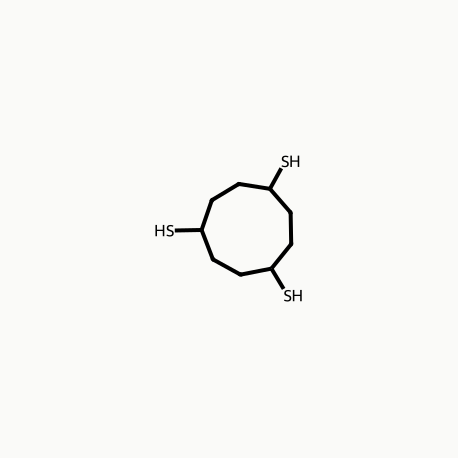 SC1CCC(S)CCC(S)CC1